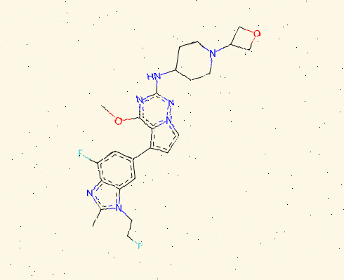 COc1nc(NC2CCN(C3COC3)CC2)nn2ccc(-c3cc(F)c4nc(C)n(CCF)c4c3)c12